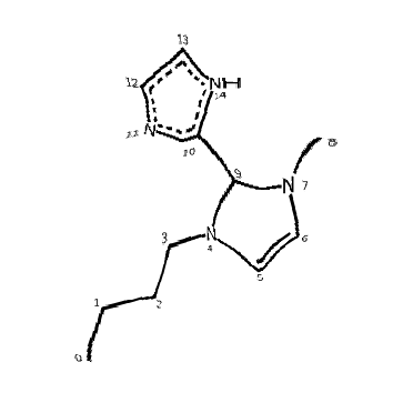 CCCCN1C=CN(C)C1c1ncc[nH]1